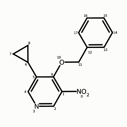 O=[N+]([O-])c1cncc(C2CC2)c1OCc1ccccc1